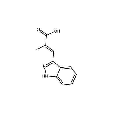 C/C(=C\c1n[nH]c2ccccc12)C(=O)O